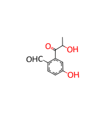 CC(O)C(=O)c1cc(O)ccc1C=O